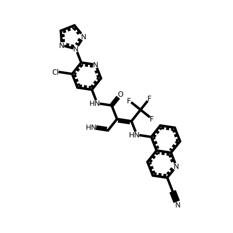 N#Cc1ccc2c(N/C(=C(\C=N)C(=O)Nc3cnc(-n4nccn4)c(Cl)c3)C(F)(F)F)cccc2n1